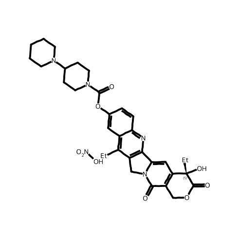 CCc1c2c(nc3ccc(OC(=O)N4CCC(N5CCCCC5)CC4)cc13)-c1cc3c(c(=O)n1C2)COC(=O)[C@]3(O)CC.O=[N+]([O-])O